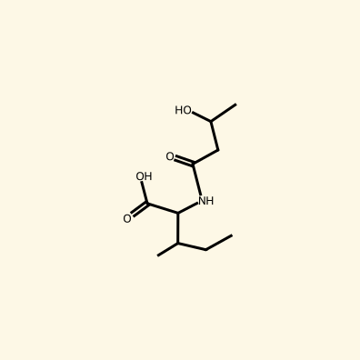 CCC(C)C(NC(=O)CC(C)O)C(=O)O